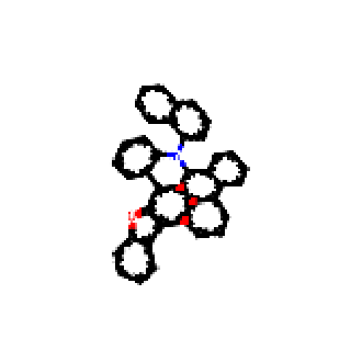 c1ccc(N(c2cccc3ccccc23)c2cc3ccccc3c3ccccc23)c(-c2cccc3c2oc2ccccc23)c1